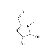 CN1C(C=O)=NC(O)C1O